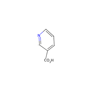 O=C(O)c1[c]nccc1